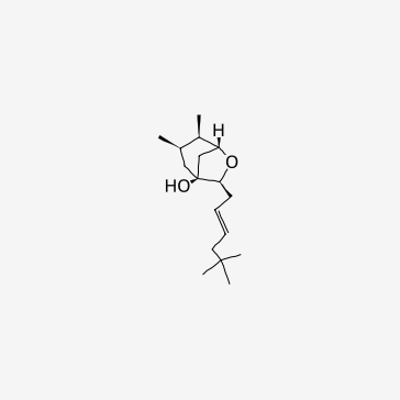 C[C@@H]1[C@H](C)C[C@]2(O)C[C@H]1O[C@H]2C/C=C/CC(C)(C)C